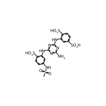 CS(=O)(=O)Nc1ccc(S(=O)(=O)O)c(Nc2nc(N)nc(Nc3cc(S(=O)(=O)O)ccc3S(=O)(=O)O)n2)c1